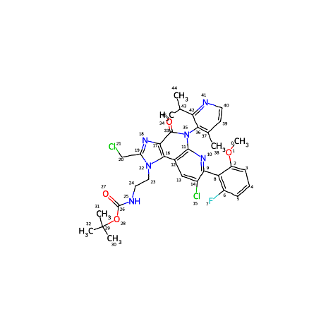 COc1cccc(F)c1-c1nc2c(cc1Cl)c1c(nc(CCl)n1CCNC(=O)OC(C)(C)C)c(=O)n2-c1c(C)ccnc1C(C)C